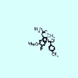 COc1cc2c(CC(N)=O)c(C)n(C(=O)c3ccc(C(F)(F)F)cc3)c2cc1F